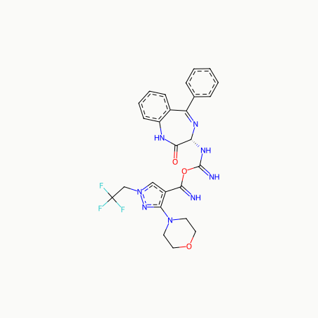 N=C(N[C@H]1N=C(c2ccccc2)c2ccccc2NC1=O)OC(=N)c1cn(CC(F)(F)F)nc1N1CCOCC1